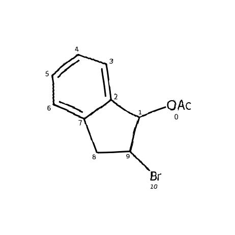 CC(=O)OC1c2ccccc2CC1Br